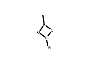 CB1OB(C(C)C)O1